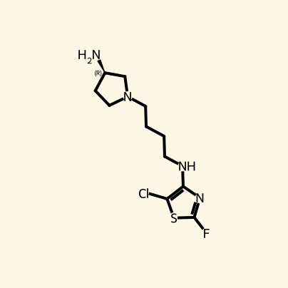 N[C@@H]1CCN(CCCCNc2nc(F)sc2Cl)C1